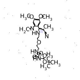 C=Nc1cc(OC)c(OC)cc1/C(NCCOCCNS(=O)(=O)NC(=O)OC(C)(C)C)=C(\C)C#N